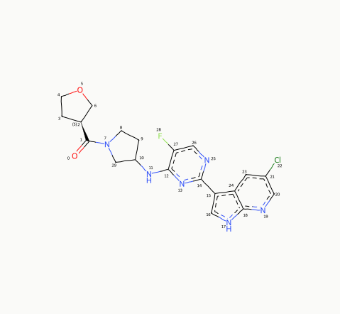 O=C([C@H]1CCOC1)N1CCC(Nc2nc(-c3c[nH]c4ncc(Cl)cc34)ncc2F)C1